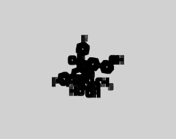 COC1OC(CS(=O)(=O)c2cc(-c3cccc(O)c3)ccc2C2C(CCC(O)c3ccc(F)cc3)C(=O)N2c2ccc(F)cc2)C(O)C(O)C1O